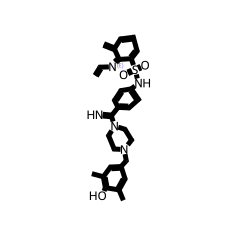 C=C/N=C1\C(=C)C=CC=C1S(=O)(=O)Nc1ccc(C(=N)N2CCN(Cc3cc(C)c(O)c(C)c3)CC2)cc1